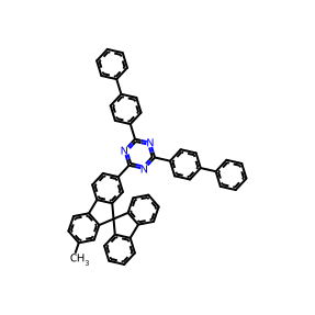 Cc1ccc2c(c1)C1(c3ccccc3-c3ccccc31)c1cc(-c3nc(-c4ccc(-c5ccccc5)cc4)nc(-c4ccc(-c5ccccc5)cc4)n3)ccc1-2